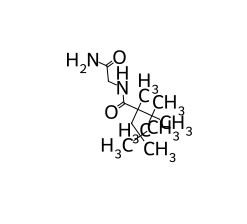 CC(C)(C)CC(C)(C(=O)NCC(N)=O)C(C)(C)C